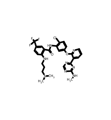 CNc1ncnc(-c2cccnc2Oc2ccc(Cl)c(NC(=O)c3cc(C(F)(F)F)ccc3NCCCN(C)C)c2)n1